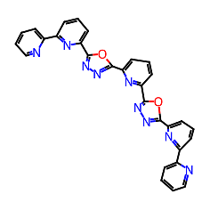 c1ccc(-c2cccc(-c3nnc(-c4cccc(-c5nnc(-c6cccc(-c7ccccn7)n6)o5)n4)o3)n2)nc1